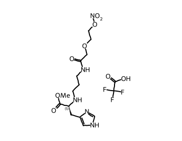 COC(=O)[C@H](Cc1c[nH]cn1)NCCCNC(=O)COCCO[N+](=O)[O-].O=C(O)C(F)(F)F